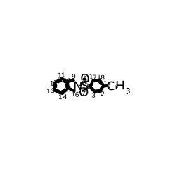 Cc1ccc(S(=O)(=O)N2Cc3ccccc3C2)cc1